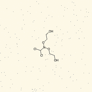 OCCON(OCCO)C(Cl)Cl